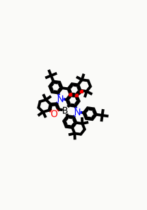 Cc1cc2c3c(c1)N(c1ccc(C(C)(C)C)cc1-c1ccc4c(c1)C(C)(C)CCC4(C)C)c1c(oc4c1C(C)(C)CCC4(C)C)B3c1ccc3c(c1N2c1ccc(C(C)(C)C)cc1)C(C)(C)CCC3(C)C